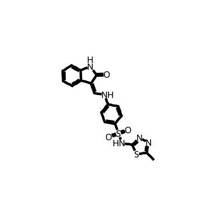 Cc1nnc(NS(=O)(=O)c2ccc(NC=C3C(=O)Nc4ccccc43)cc2)s1